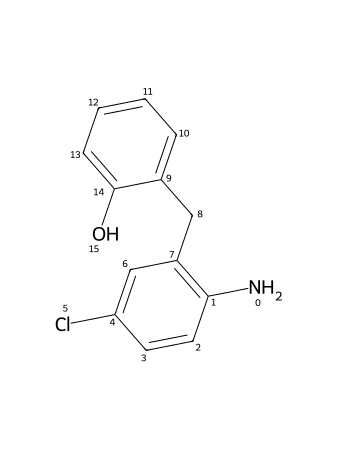 Nc1ccc(Cl)cc1Cc1ccccc1O